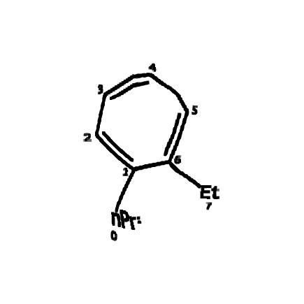 CC[C]c1ccccc1CC